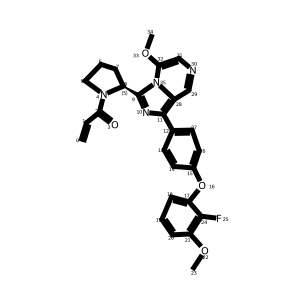 C=CC(=O)N1CCC[C@H]1c1nc(-c2ccc(Oc3cccc(OC)c3F)cc2)c2cncc(OC)n12